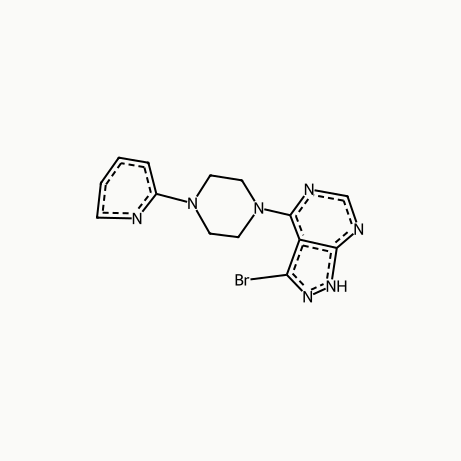 Brc1n[nH]c2ncnc(N3CCN(c4ccccn4)CC3)c12